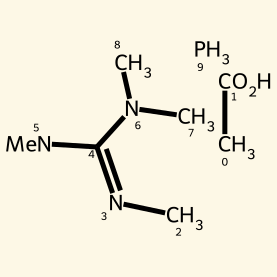 CC(=O)O.CN=C(NC)N(C)C.P